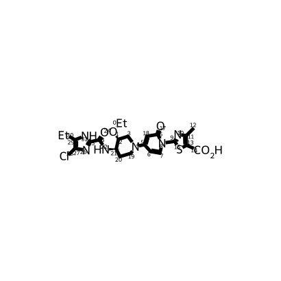 CCO[C@H]1CN(c2ccn(-c3nc(C)c(C(=O)O)s3)c(=O)c2)CC[C@H]1NC(=O)c1nc(Cl)c(CC)[nH]1